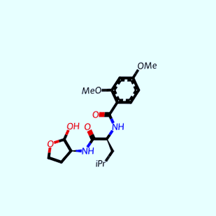 COc1ccc(C(=O)N[C@@H](CC(C)C)C(=O)N[C@H]2CCOC2O)c(OC)c1